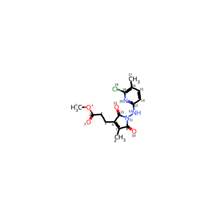 COC(=O)CCC1=C(C)C(=O)N(Nc2ccc(C)c(Cl)n2)C1=O